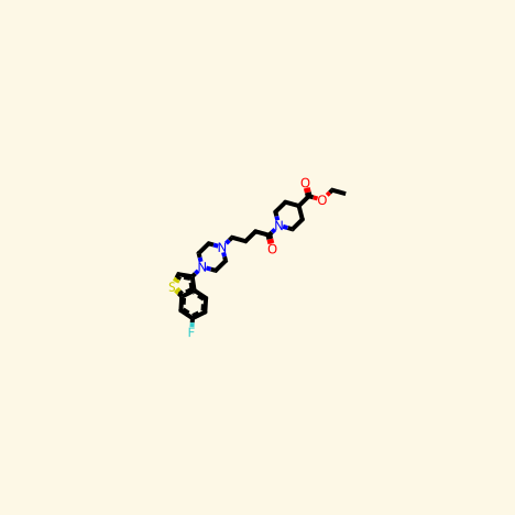 CCOC(=O)C1CCN(C(=O)CCCN2CCN(c3csc4cc(F)ccc34)CC2)CC1